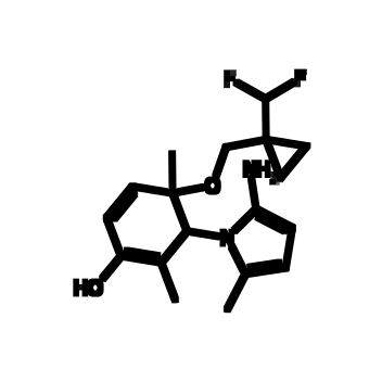 CC1=C(O)C=CC(C)(OCC2(C(F)F)CC2)C1n1c(C)ccc1N